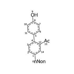 CCCCCCCCCc1ccc(-c2ccc(O)cc2)c(C(C)=O)c1